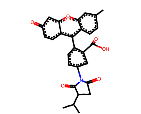 Cc1ccc2c(-c3ccc(N4C(=O)CC(C(C)C)C4=O)cc3C(=O)O)c3ccc(=O)cc-3oc2c1